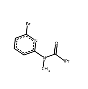 CC(C)C(=O)N(C)c1cccc(Br)n1